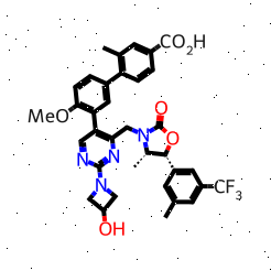 COc1ccc(-c2ccc(C(=O)O)cc2C)cc1-c1cnc(N2CC(O)C2)nc1CN1C(=O)O[C@H](c2cc(C)cc(C(F)(F)F)c2)[C@@H]1C